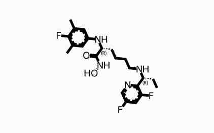 CC[C@@H](NCCCC[C@@H](Nc1cc(C)c(F)c(C)c1)C(=O)NO)c1ncc(F)cc1F